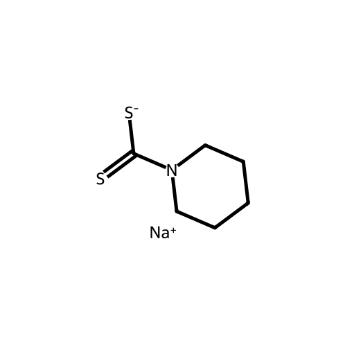 S=C([S-])N1CCCCC1.[Na+]